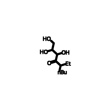 CCCCC(CC)C(=O)C(O)C(O)CO